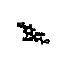 CO[Si](OC)(OCCCl)c1ccc(C)cc1